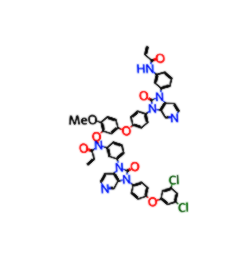 C=CC(=O)Nc1cccc(-n2c(=O)n(-c3ccc(Oc4ccc(OC)c(ON(C(=O)C=C)c5cccc(-n6c(=O)n(-c7ccc(Oc8cc(Cl)cc(Cl)c8)cc7)c7cnccc76)c5)c4)cc3)c3cnccc32)c1